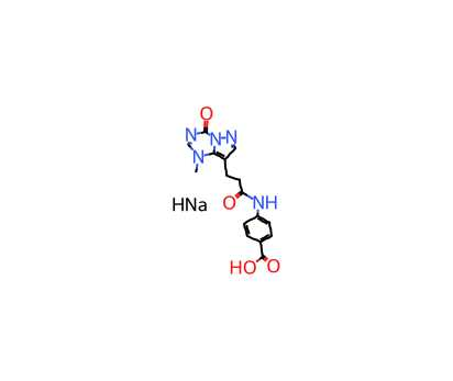 Cn1cnc(=O)n2ncc(CCC(=O)Nc3ccc(C(=O)O)cc3)c12.[NaH]